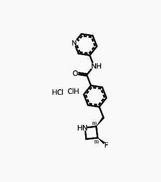 Cl.Cl.O=C(Nc1cccnc1)c1ccc(C[C@@H]2NC[C@@H]2F)cc1